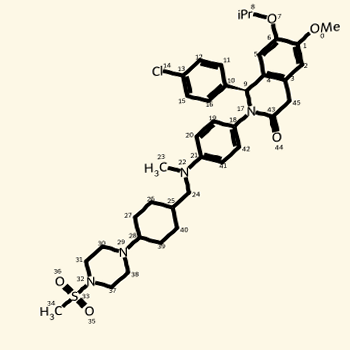 COc1cc2c(cc1OC(C)C)[C@H](c1ccc(Cl)cc1)N(c1ccc(N(C)CC3CCC(N4CCN(S(C)(=O)=O)CC4)CC3)cc1)C(=O)C2